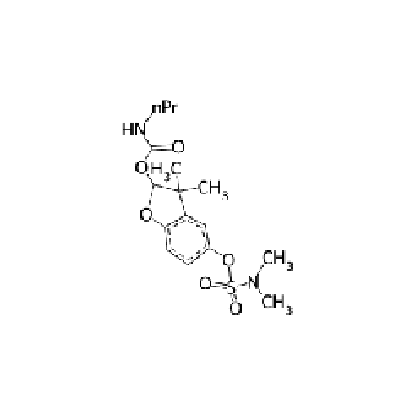 CCCNC(=O)OC1Oc2ccc(OS(=O)(=O)N(C)C)cc2C1(C)C